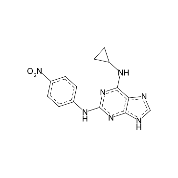 O=[N+]([O-])c1ccc(Nc2nc(NC3CC3)c3nc[nH]c3n2)cc1